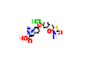 Cl.N[C@@H](Cc1ccc(Oc2ccc(CC3SC(=O)NC3=O)cc2)cc1)C(=O)O